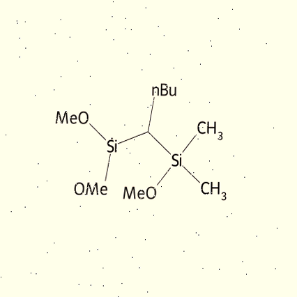 CCCCC([Si](OC)OC)[Si](C)(C)OC